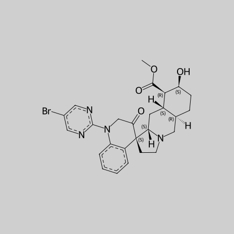 COC(=O)[C@@H]1[C@H]2C[C@@H]3N(CC[C@@]34C(=O)CN(c3ncc(Br)cn3)c3ccccc34)C[C@@H]2CC[C@@H]1O